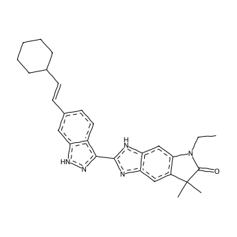 CCN1C(=O)C(C)(C)c2cc3nc(-c4n[nH]c5cc(C=CC6CCCCC6)ccc45)[nH]c3cc21